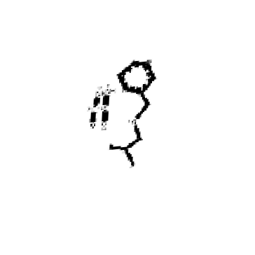 CC(C)COCc1ccccc1.N=C=O.N=C=O